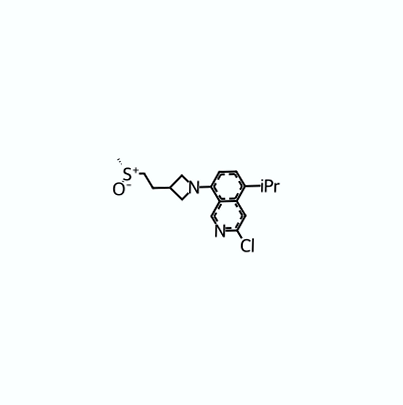 CC(C)c1ccc(N2CC(CC[S@@+](C)[O-])C2)c2cnc(Cl)cc12